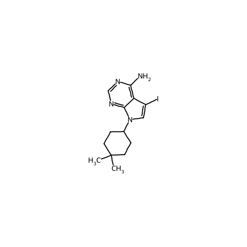 CC1(C)CCC(n2cc(I)c3c(N)ncnc32)CC1